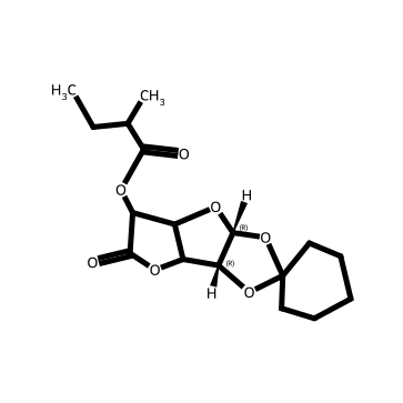 CCC(C)C(=O)OC1C(=O)OC2C1O[C@@H]1OC3(CCCCC3)O[C@H]21